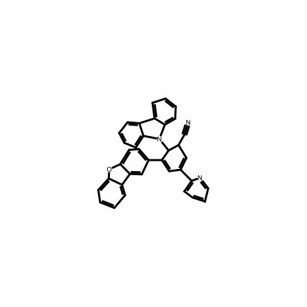 N#CC1C=C(c2ccccn2)C=C(c2ccc3oc4ccccc4c3c2)C1n1c2ccccc2c2ccccc21